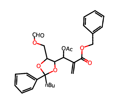 C=C(C(=O)OCc1ccccc1)C(OC(C)=O)C1OC(CCCC)(c2ccccc2)OC1COC=O